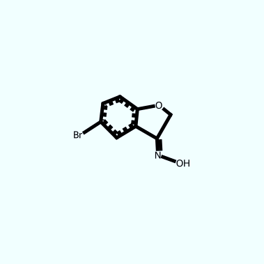 ON=C1COc2ccc(Br)cc21